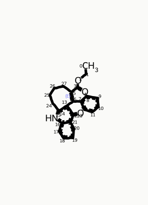 CCOC(=O)/C1=C(\c2ccccc2)c2c([nH]c3ccccc3c2=O)CCCC1